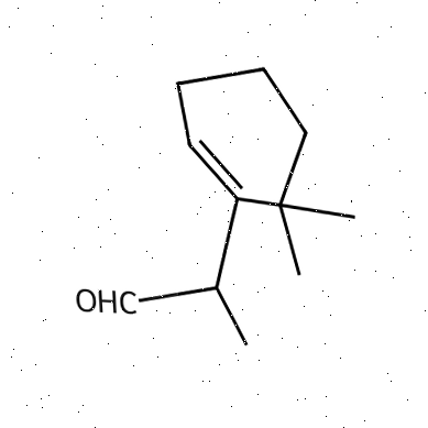 CC(C=O)C1=CCCCC1(C)C